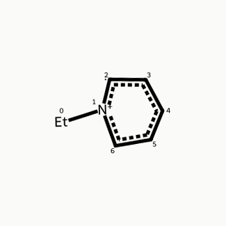 CC[n+]1[c]cccc1